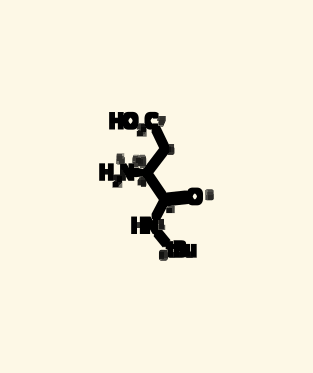 CC(C)(C)NC(=O)[C@@H](N)CC(=O)O